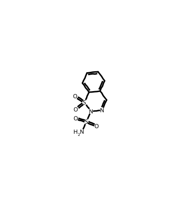 NS(=O)(=O)N1N=Cc2ccccc2S1(=O)=O